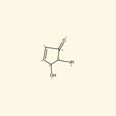 CC(C)C1C(=O)C=CC1O